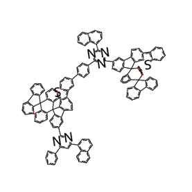 c1ccc(-c2cc(-c3cccc4ccccc34)nc(-c3ccc4c(c3)-c3ccc5c(sc6ccc(-c7ccc(-c8nc(-c9ccc%10c(c9)-c9ccc%11c(sc%12ccccc%12%11)c9C%109c%10ccccc%10C%10(c%11ccccc%11-c%11ccccc%11%10)c%10ccccc%109)nc(-c9cccc%10ccccc9%10)n8)cc7)cc65)c3C43c4ccccc4C4(c5ccccc5-c5ccccc54)c4ccccc43)n2)cc1